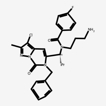 Cc1nn2c(=O)n(Cc3ccccc3)c([C@@H](C(C)C)N(CCCN)C(=O)c3ccc(F)cc3)cc2c1Cl